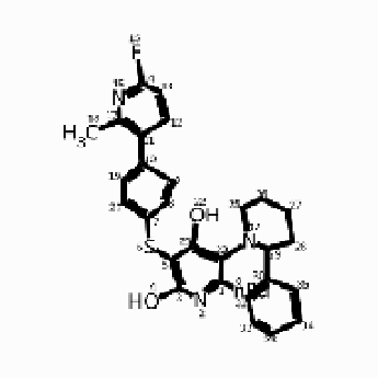 CCCCc1nc(O)c(Sc2ccc(-c3ccc(F)nc3C)cc2)c(O)c1N1CCCCC1c1ccccc1